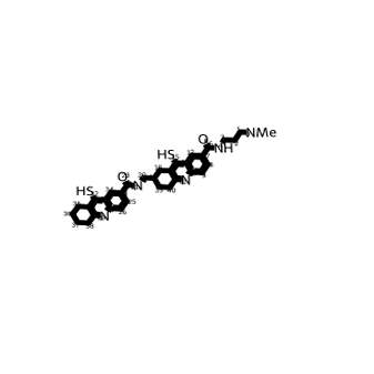 CNCCCNC(=O)c1ccc2nc3c(c(S)c2c1)CC(/C=N/C(=O)c1ccc2nc4c(c(S)c2c1)CCCC4)CC3